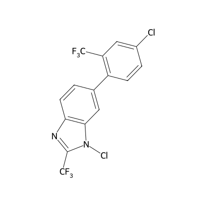 FC(F)(F)c1cc(Cl)ccc1-c1ccc2nc(C(F)(F)F)n(Cl)c2c1